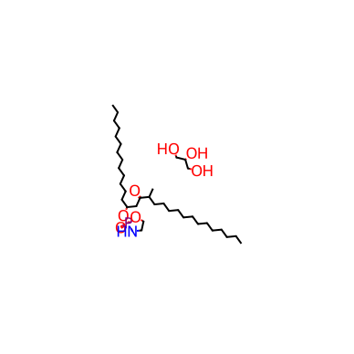 CCCCCCCCCCCCCC(CC(=O)C(C)CCCCCCCCCCCCC)OP1(=O)NCCO1.OCC(O)CO